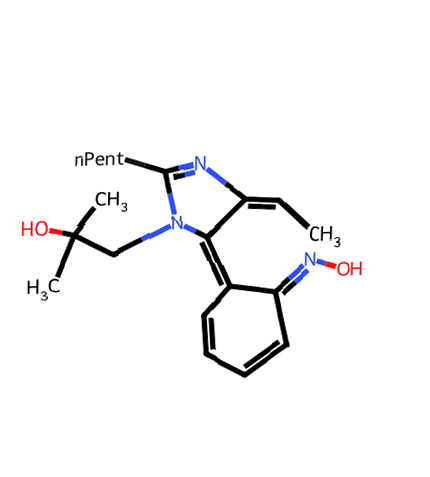 C/C=c1/nc(CCCCC)n(CC(C)(C)O)/c1=C1\C=CC=C\C1=N/O